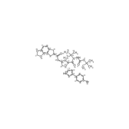 CC(C)(C)OC(=O)NC(C(=O)N1C[C@H](OC(=O)N2Cc3ccc4c(c3C2)OCO4)C[C@H]1c1nc(-c2ccc(Br)cc2)c[nH]1)C(C)(C)C